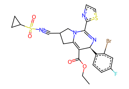 CCOC(=O)C1=C2CC(C#[N+]S(=O)(=O)C3CC3)CN2C(c2nccs2)=N[C@H]1c1ccc(F)cc1Br